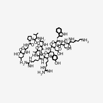 CC(C)C[C@H](NC(=O)CNC(=O)[C@@H]1CCCN1C(=O)[C@@H](NC(=O)[C@H](C)NC(=O)[C@H](C)NC(=O)[C@H](C)NC(=O)[C@H](CCCNC(=N)N)NC(=O)[C@H](CCCNC(=N)N)NC(=O)[C@H](Cc1ccc(O)cc1)NC(=O)[C@H](CC(=O)O)NC(=O)[C@H](Cc1c[nH]c2ccccc12)NC(=O)[C@H](CS)NC(=O)[C@@H](N)CCCCN)C(C)C)C(=O)O